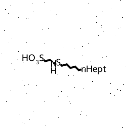 CCCCCCCCCCCCSNCCS(=O)(=O)O